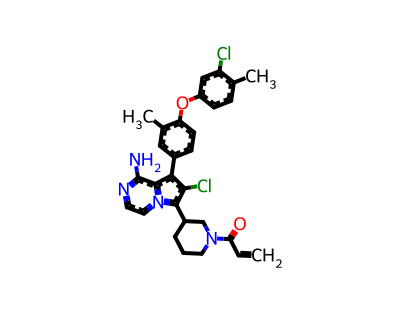 C=CC(=O)N1CCCC(c2c(Cl)c(-c3ccc(Oc4ccc(C)c(Cl)c4)c(C)c3)c3c(N)nccn23)C1